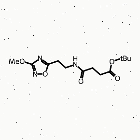 COc1noc(CCNC(=O)CCC(=O)OC(C)(C)C)n1